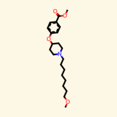 COCCCCCCCCN1CCC(Oc2ccc(C(=O)OC)cc2)CC1